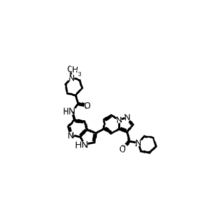 CN1CCC(C(=O)Nc2cnc3[nH]cc(-c4ccn5ncc(C(=O)N6CCCCC6)c5c4)c3c2)CC1